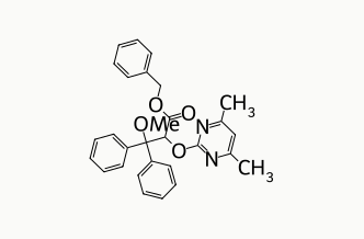 COC(c1ccccc1)(c1ccccc1)C(Oc1nc(C)cc(C)n1)C(=O)OCc1ccccc1